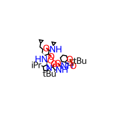 CC(C)C1CCN(C(=O)[C@@H](NC(=O)NC2(CS(=O)(=O)C(C)(C)C)CCCCC2)C(C)(C)C)[C@@H]1C(=O)N[C@H](CCCC1CC1)C(=O)C(=O)NC1CC1